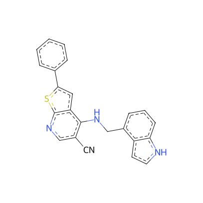 N#Cc1cnc2sc(-c3ccccc3)cc2c1NCc1cccc2[nH]ccc12